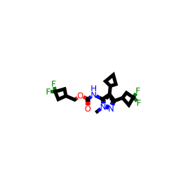 Cn1nc(C2CC(F)(F)C2)c(C2CCC2)c1NC(=O)OCC1CC(F)(F)C1